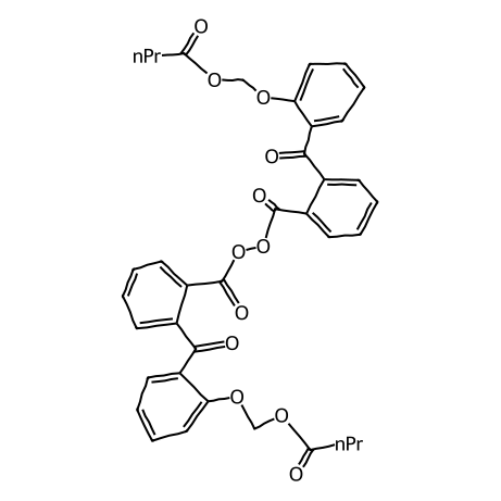 CCCC(=O)OCOc1ccccc1C(=O)c1ccccc1C(=O)OOC(=O)c1ccccc1C(=O)c1ccccc1OCOC(=O)CCC